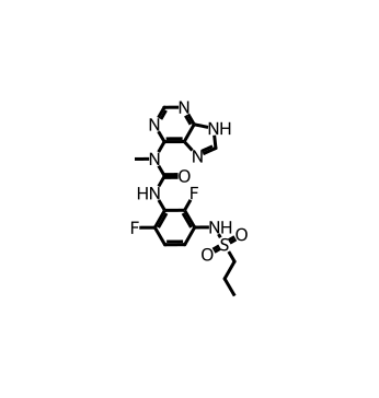 CCCS(=O)(=O)Nc1ccc(F)c(NC(=O)N(C)c2ncnc3[nH]cnc23)c1F